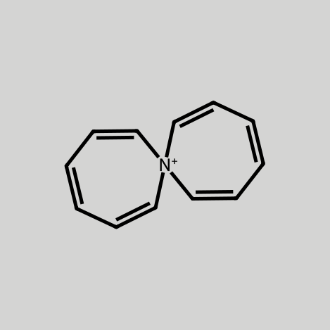 C1=CC=C[N+]2(C=C1)C=CC=CC=C2